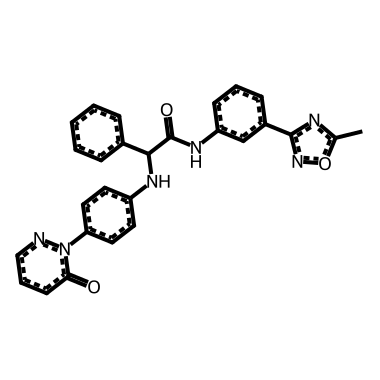 Cc1nc(-c2cccc(NC(=O)C(Nc3ccc(-n4ncccc4=O)cc3)c3ccccc3)c2)no1